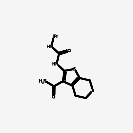 CC(C)NC(=O)Nc1sc2c(c1C(N)=O)CCSC2